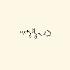 C[N]C(=O)NC(=O)C=Cc1ccccc1